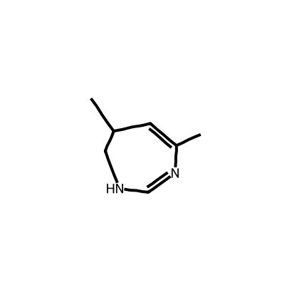 CC1=CC(C)CNC=N1